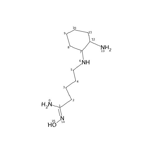 N/C(CCCCNC1CCCCC1N)=N\O